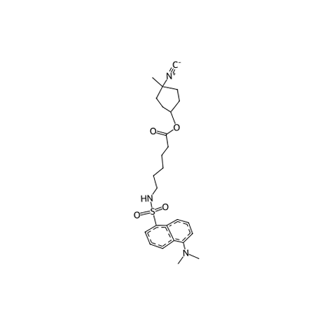 [C-]#[N+]C1(C)CCC(OC(=O)CCCCCNS(=O)(=O)c2cccc3c(N(C)C)cccc23)CC1